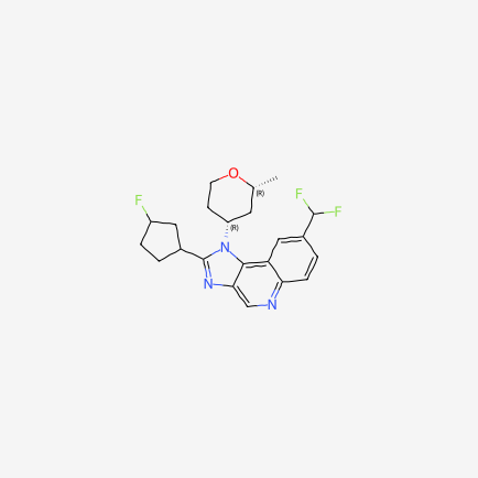 C[C@@H]1C[C@H](n2c(C3CCC(F)C3)nc3cnc4ccc(C(F)F)cc4c32)CCO1